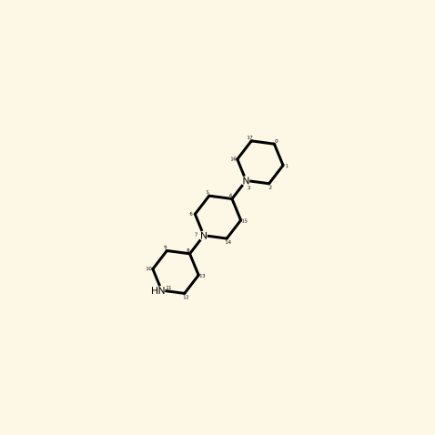 C1CCN(C2CCN(C3CCNCC3)CC2)CC1